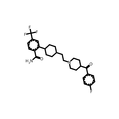 NC(=O)c1ccc(C(F)(F)F)cc1C1CCC(CCN2CCC(C(=O)c3ccc(F)cc3)CC2)CC1